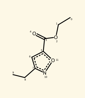 CCOC(=O)c1cc(CC)no1